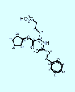 O=C(O)CCC[C@H](NC(=O)OCc1ccccc1)C(=O)OC1CCCC1